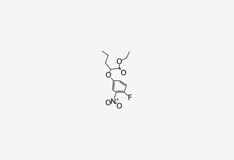 CCCC(Oc1ccc(F)c([N+](=O)[O-])c1)C(=O)OCC